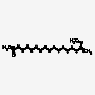 C=C(CC)CCCCCCCCCCCCCCC(C)=O